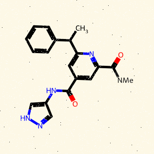 CNC(=O)c1cc(C(=O)Nc2cn[nH]c2)cc(C(C)c2ccccc2)n1